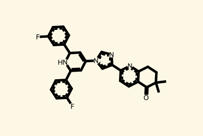 CC1(C)CCc2nc(-c3cn(C4=CC(c5cccc(F)c5)NC(c5cccc(F)c5)=C4)cn3)ccc2C1=O